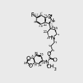 CN(C(=O)OCCCN1CCC(c2noc3cc(F)ccc23)CC1)c1ccc2c(c1)OCO2